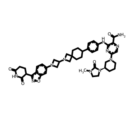 CN1CCN([C@@H]2CCCN(c3cnc(C(N)=O)c(Nc4ccc(C5CCC6(CC5)CN(C5CN(c7ccc8c(C9CCC(=O)NC9=O)noc8c7)C5)C6)cc4)n3)C2)C1=O